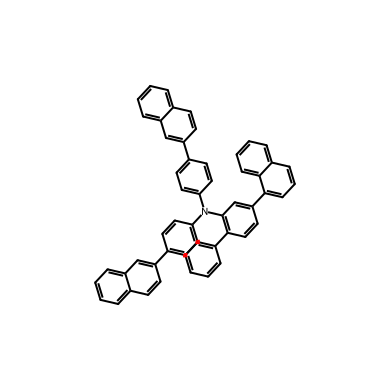 c1ccc(-c2ccc(-c3cccc4ccccc34)cc2N(c2ccc(-c3ccc4ccccc4c3)cc2)c2ccc(-c3ccc4ccccc4c3)cc2)cc1